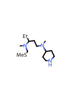 CCC(CCN(C)C1CCNCC1)N(C)CSC